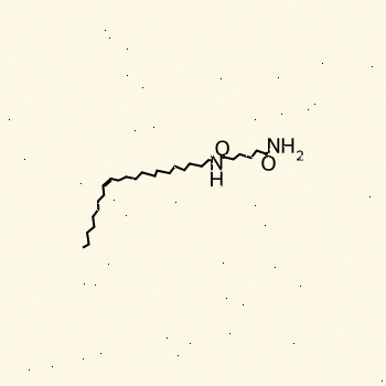 CCCCCCCC/C=C\CCCCCCCCCCCCNC(=O)CCCCC(N)=O